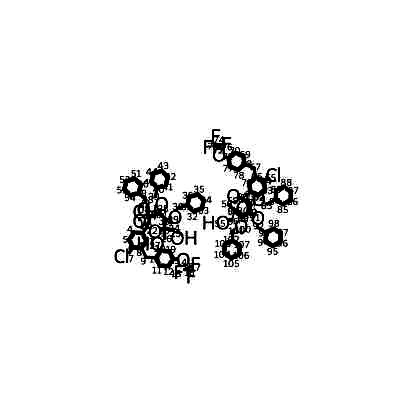 CO[C@@]1(c2ccc(Cl)c(Cc3ccc(OC(F)(F)F)cc3)c2)OC(CO)(CO)[C@@H](OCc2ccccc2)[C@H](OCc2ccccc2)[C@H]1OCc1ccccc1.OC[C@@]12CO[C@@](c3ccc(Cl)c(Cc4ccc(OC(F)(F)F)cc4)c3)(O1)[C@H](OCc1ccccc1)[C@@H](OCc1ccccc1)[C@@H]2OCc1ccccc1